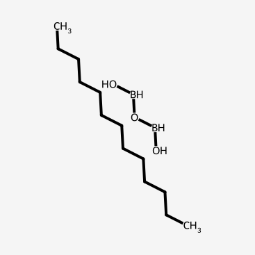 CCCCCCCCCCCCC.OBOBO